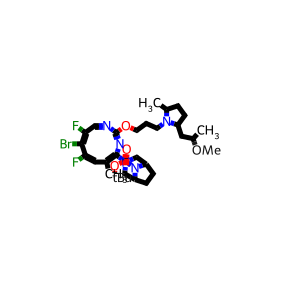 COC(C)CC1CCC(C)N1CCCOc1ncc(F)c(Br)c(F)cc(C)c(N2CC3CCC(C2)N3C(=O)OC(C)(C)C)n1